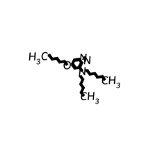 CCCCCCOc1cccc(N(CCCCCC)CCCCCC)c1.N#N